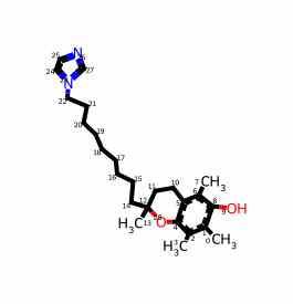 Cc1c(C)c2c(c(C)c1O)CCC(C)(CCCCCCCCCn1ccnc1)O2